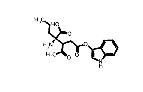 CCC[C@](N)(C(=O)O)C(CC(=O)Oc1c[nH]c2ccccc12)C(C)=O